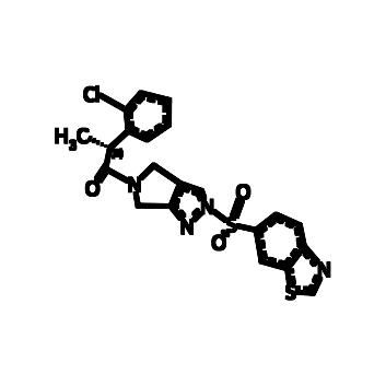 C[C@@H](C(=O)N1Cc2cn(S(=O)(=O)c3ccc4ncsc4c3)nc2C1)c1ccccc1Cl